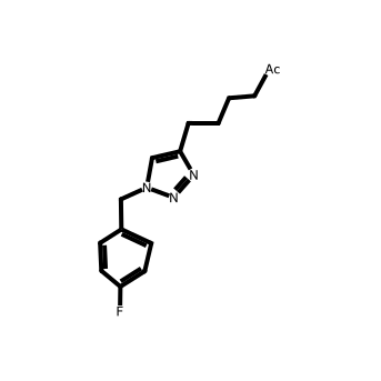 CC(=O)CCCCc1cn(Cc2ccc(F)cc2)nn1